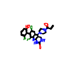 C=CC(=O)N1CCN(c2c3c(nc4c(F)c(-c5c(O)cccc5F)c(Cl)cc24)NC(=O)NC3)CC1